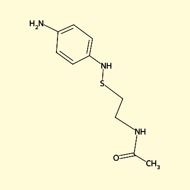 CC(=O)NCCSNc1ccc(N)cc1